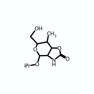 CC(C)OC1OC(CO)C(C)C2OC(=O)NC12